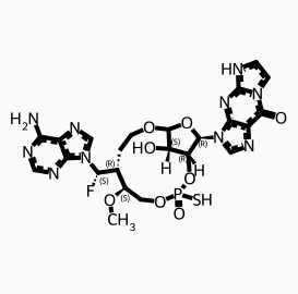 CO[C@@H]1COP(=O)(S)O[C@@H]2[C@H](O)C(OCC[C@H]1[C@H](F)n1cnc3c(N)ncnc31)O[C@H]2n1cnc2c(=O)n3cc[nH]c3nc21